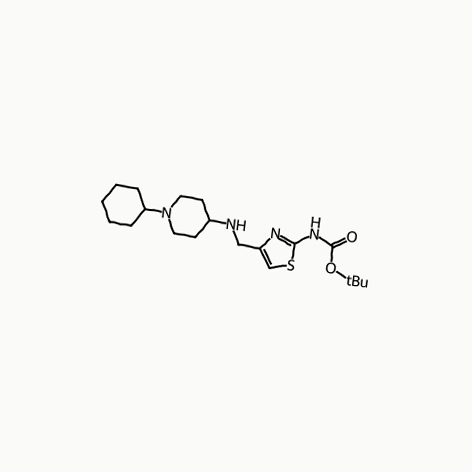 CC(C)(C)OC(=O)Nc1nc(CNC2CCN(C3CCCCC3)CC2)cs1